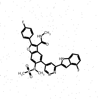 CNC(=O)c1c(-c2ccc(F)cc2)oc2cc(N(C)S(C)(=O)=O)c(-c3cnnc(-c4cc5c(F)cccc5[nH]4)c3)cc12